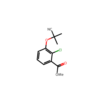 COC(=O)c1cccc(OC(C)(C)C#N)c1Cl